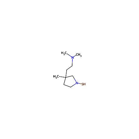 CN(C)CCC1(C)CCN(S)C1